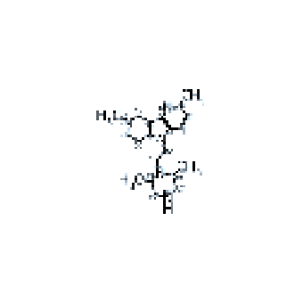 Cc1ccc2c(n1)c1c(n2CCN2C(C)CNCC2C)CCN(C)C1